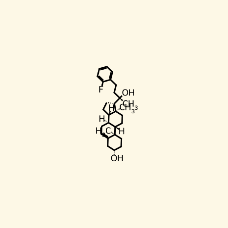 C[C@]12CC[C@H]3[C@@H](CC=C4C[C@@H](O)CC[C@@]43C)[C@@H]1CC[C@@H]2[C@@](C)(O)CCc1ccccc1F